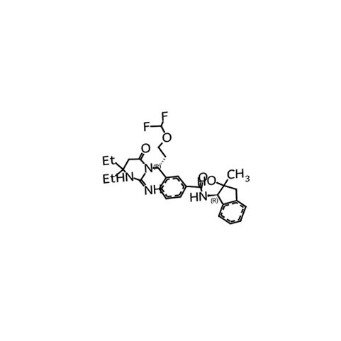 CCC1(CC)CC(=O)N([C@H](CCOC(F)F)c2cccc(C(=O)N[C@@H]3c4ccccc4CC3(C)O)c2)C(=N)N1